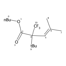 CCCCOC(=O)C(C=C(C)C)(C(C)(C)C)C(F)(F)F